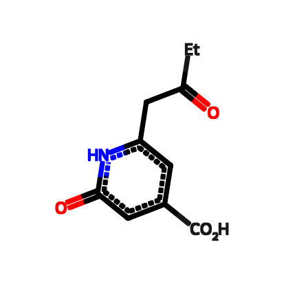 CCC(=O)Cc1cc(C(=O)O)cc(=O)[nH]1